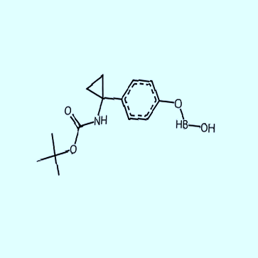 CC(C)(C)OC(=O)NC1(c2ccc(OBO)cc2)CC1